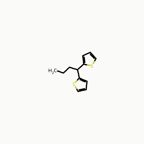 [CH2]CCC(c1cccs1)c1cccs1